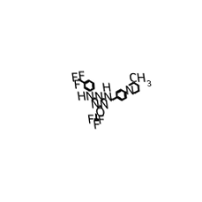 CC1CCCN(c2ccc(CNc3nc(Nc4cccc(C(F)(F)F)c4)nc(OCC(F)(F)F)n3)cc2)C1